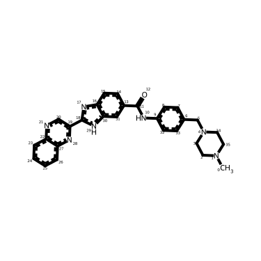 CN1CCN(Cc2ccc(NC(=O)c3ccc4nc(-c5cnc6ccccc6n5)[nH]c4c3)cc2)CC1